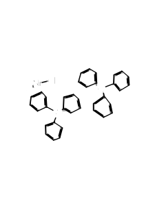 [Cl][Ni][Cl].c1ccc([As](c2ccccc2)c2ccccc2)cc1.c1ccc([As](c2ccccc2)c2ccccc2)cc1